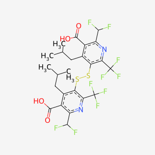 CC(C)Cc1c(SSc2c(C(F)(F)F)nc(C(F)F)c(C(=O)O)c2CC(C)C)c(C(F)(F)F)nc(C(F)F)c1C(=O)O